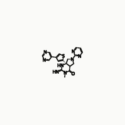 CN1C(=N)N[C@@]2(c3cc(-c4cncnc4)cs3)CN(c3ncccn3)CC2C1=O